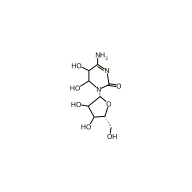 NC1=NC(=O)N([C@@H]2O[C@H](CO)C(O)C2O)C(O)C1O